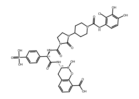 O=C(O)c1cccc2c1OB(O)[C@@H](NC(=O)[C@H](NC(=O)N1CCN(C3CCN(C(=O)Nc4ccc(O)c(O)c4Cl)CC3)C1=O)c1ccc(P(=O)(O)O)cc1)C2